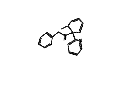 CC1C=CC=CC1(NCc1ccccc1)c1ccccn1